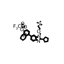 CN1C2CCC1c1c(-c3ccc4nc(C5CCCC5)n(COCC[Si](C)(C)C)c4c3)ccc(OS(=O)(=O)C(F)(F)F)c12